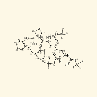 CC(C)(C)OC(=O)/N=C(/NCCCC(NC(=O)OC(C)(C)C)C(=O)N1CCC[C@H]1C(=O)NC(Cc1ccccn1)c1ccccc1)NC(=O)OC(C)(C)C